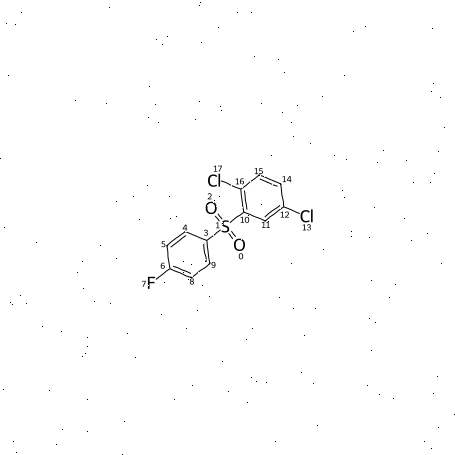 O=S(=O)(c1ccc(F)cc1)c1cc(Cl)ccc1Cl